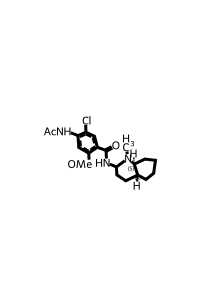 COc1cc(NC(C)=O)c(Cl)cc1C(=O)NC1CC[C@H]2CCCC[C@@H]2N1C